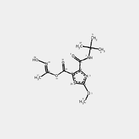 COc1nc(C(=O)NC(C)(C)C)c(C(=O)OC(C)=NO)s1